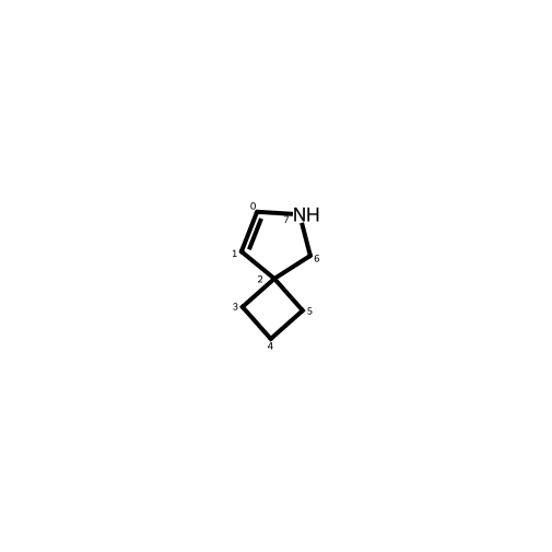 C1=CC2(CCC2)CN1